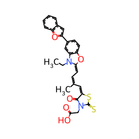 CCN1C(=CC=C(C)C=C2SC(=S)N(CC(=O)O)C2=O)Oc2ccc(-c3cc4ccccc4o3)cc21